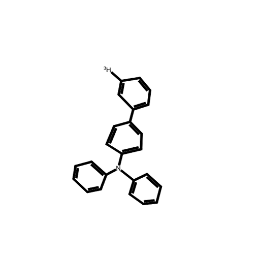 [3H]c1cccc(-c2ccc(N(c3ccccc3)c3ccccc3)cc2)c1